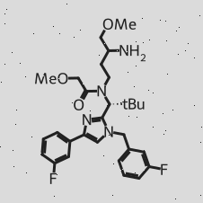 COCC(=O)N(CCC(N)COC)[C@@H](c1nc(-c2cccc(F)c2)cn1Cc1cccc(F)c1)C(C)(C)C